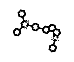 c1ccc(-c2cc(-c3ccccc3)nc(-c3ccc(-c4ccc5c(ccc6ccc7nc(-c8ccccc8)oc7c65)c4)cc3)n2)cc1